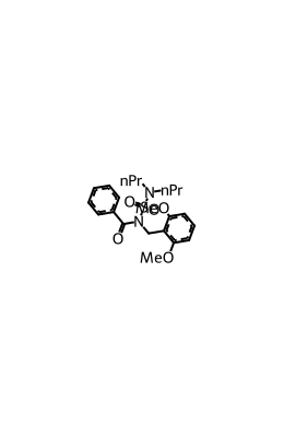 CCCN(CCC)S(=O)(=O)N(Cc1c(OC)cccc1OC)C(=O)c1ccccc1